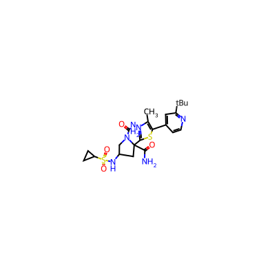 Cc1nc(C2(C(N)=O)CC(NS(=O)(=O)C3CC3)CN2C(N)=O)sc1-c1ccnc(C(C)(C)C)c1